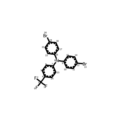 FC(F)(F)c1ccc(N(c2ccc(Br)cc2)c2ccc(Br)cc2)cc1